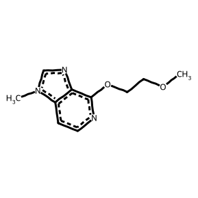 COCCOc1nccc2c1ncn2C